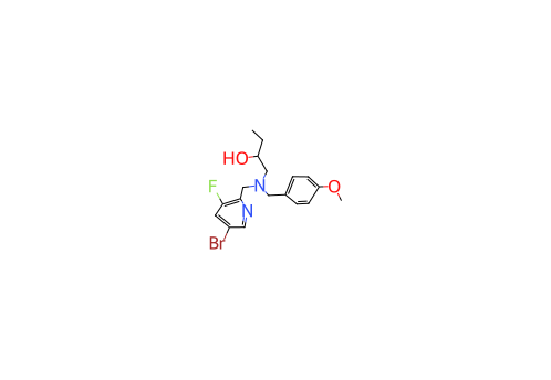 CCC(O)CN(Cc1ccc(OC)cc1)Cc1ncc(Br)cc1F